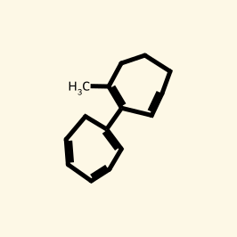 CC1=C(C2=CC=CC=CC2)C=CCCC1